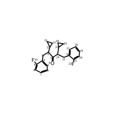 O=C(C(Cc1ccccc1F)C1CC1)C(Cc1ccccc1F)C1CC1